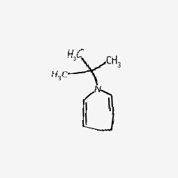 CC(C)(C)N1C=CCC=C1